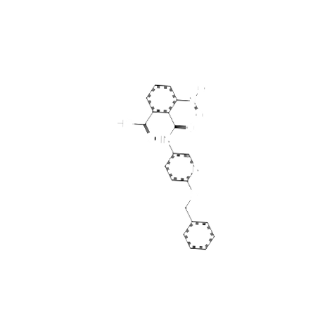 O=C(O)c1cccc([N+](=O)[O-])c1C(=O)Nc1ccc(OCc2ccccc2)nc1